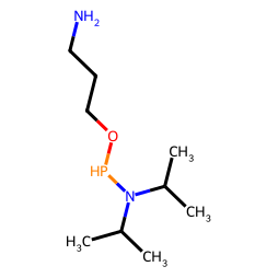 CC(C)N(POCCCN)C(C)C